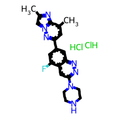 Cc1cn2nc(-c3cc(F)c4cc(N5CCNCC5)nnc4c3)cc(C)c2n1.Cl.Cl